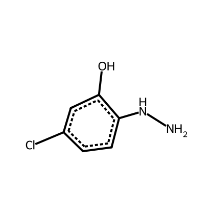 NNc1ccc(Cl)cc1O